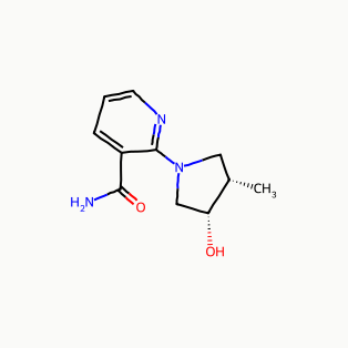 C[C@H]1CN(c2ncccc2C(N)=O)C[C@H]1O